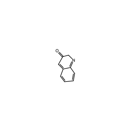 O=C1C=c2ccccc2=NC1